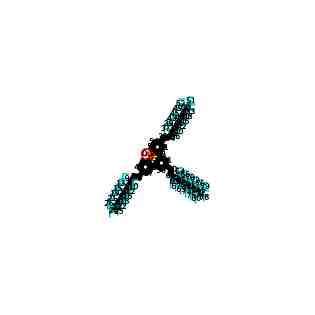 O=P(c1ccc(C=CC(F)(F)C(F)(F)C(F)(F)C(F)(F)C(F)(F)C(F)(F)F)cc1)(c1ccc(C=CC(F)(F)C(F)(F)C(F)(F)C(F)(F)C(F)(F)C(F)(F)F)cc1)c1ccc(C=CC(F)(F)C(F)(F)C(F)(F)C(F)(F)C(F)(F)C(F)(F)F)cc1